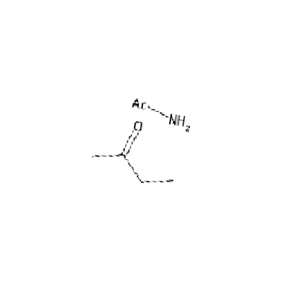 CC(N)=O.CCC(C)=O